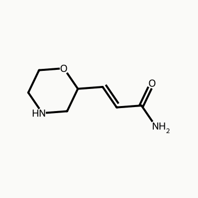 NC(=O)C=CC1CNCCO1